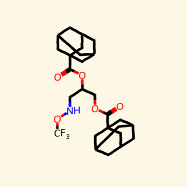 O=C(OCC(CNOC(F)(F)F)OC(=O)C12CC3CC(CC(C3)C1)C2)C12CC3CC(CC(C3)C1)C2